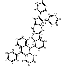 c1ccc(-c2sc3cc4sc5c(-c6c7ccccc7c(-c7ccccc7)c7ccccc67)cccc5c4cc3c2-c2ccccc2)cc1